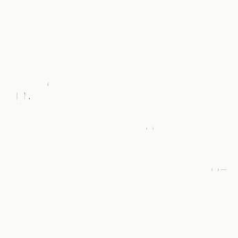 C[C@@H](N)c1cc(OCCO)ccc1F